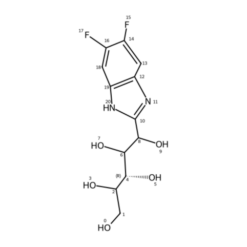 OCC(O)[C@@H](O)C(O)C(O)c1nc2cc(F)c(F)cc2[nH]1